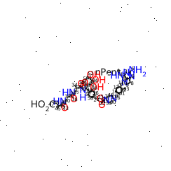 CCCCCNc1nc(N)nc2ccn(Cc3ccc(CN4CCN(C(=O)OCc5ccc(C(NC(=O)C(C)CNC(=O)CCNC(=O)C(C)CC(=O)O)C6OC[C@@H](O)[C@@H](O)[C@H]6O)cc5)CC4)cc3C)c12